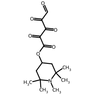 CN1C(C)(C)CC(OC(=O)C(=O)C(=O)C(=O)C=O)CC1(C)C